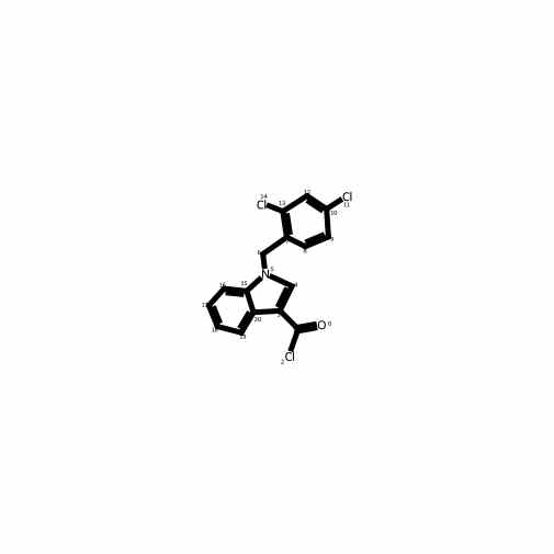 O=C(Cl)c1cn(Cc2ccc(Cl)cc2Cl)c2ccccc12